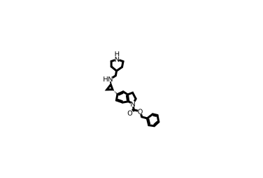 O=C(OCc1ccccc1)N1CCc2cc([C@@H]3C[C@H]3NCC3CCNCC3)ccc21